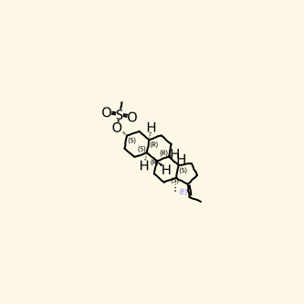 C/C=C1\CC[C@H]2[C@@H]3CC[C@@H]4C[C@@H](OS(C)(=O)=O)CC[C@@H]4[C@H]3CC[C@]12C